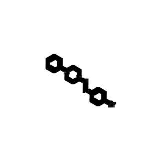 Brc1ccc(N=NN2CCN(c3ccccc3)CC2)cc1